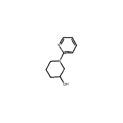 OC1CCCN(c2ccccn2)C1